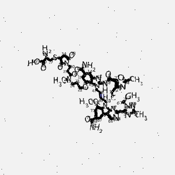 CCc1nc(C)oc1C(=O)Nc1nc2cc(C(N)=O)cc(OCCCN(C)C(=O)CCN3C(=O)CC(SC[C@H](N)C(=O)O)C3=O)c2n1C/C=C/Cn1c2nc(-c3nc(C)nn3CC)ncc2c2cc(C(N)=O)cc(OC)c21